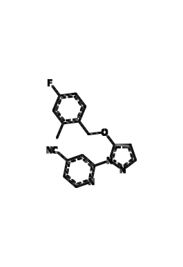 Cc1cc(F)ccc1COc1ccnn1-c1cc(C#N)ccn1